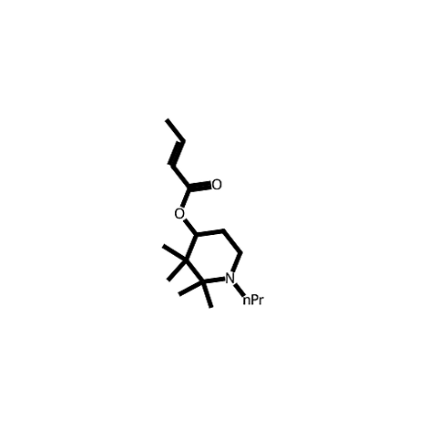 C/C=C/C(=O)OC1CCN(CCC)C(C)(C)C1(C)C